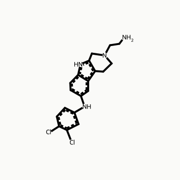 NCCN1CCc2c([nH]c3ccc(Nc4ccc(Cl)c(Cl)c4)cc23)C1